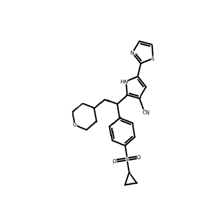 N#Cc1cc(-c2nccs2)[nH]c1C(CC1CCOCC1)c1ccc(S(=O)(=O)C2CC2)cc1